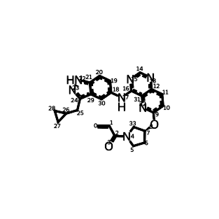 C=CC(=O)N1CC[C@H](Oc2ccc3ncnc(Nc4ccc5[nH]nc(CC6CC6)c5c4)c3n2)C1